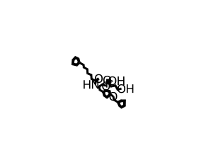 O=C(CCCCCCc1ccccc1)NC(COP(=O)(O)CCCO)Cc1ccc(OCc2ccccc2)cc1